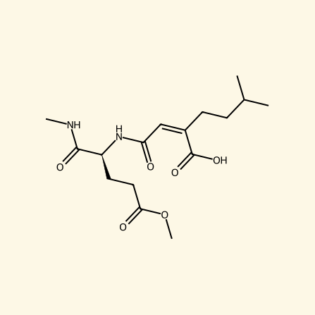 CNC(=O)[C@H](CCC(=O)OC)NC(=O)C=C(CCC(C)C)C(=O)O